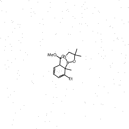 CCC1=CC=CC(C(=O)OC)C1(C)B1OCC(C)(C)O1